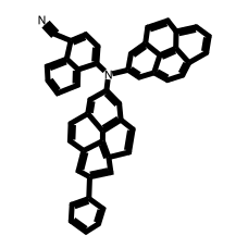 N#Cc1ccc(N(c2cc3ccc4cccc5ccc(c2)c3c45)c2cc3ccc4cc(-c5ccccc5)cc5ccc(c2)c3c45)c2ccccc12